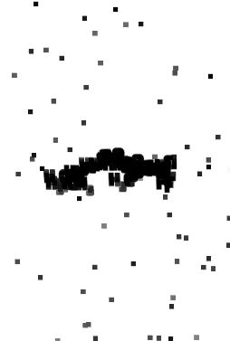 COc1cc(NC(=O)c2cccc(CNCCCNC(=O)OC(C)(C)C)c2)ccc1S(=O)(=O)N1CCN(c2cc(C(F)(F)F)cc(Cl)n2)CC1